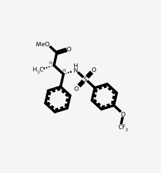 COC(=O)[C@@H](C)[C@H](NS(=O)(=O)c1ccc(OC(F)(F)F)cc1)c1ccccc1